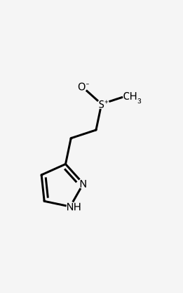 C[S+]([O-])CCc1cc[nH]n1